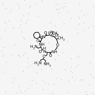 CCCC1C(=O)NC(C2CCCCCC2)C(=O)NC(CN)C(=O)NC(COC(CN)CN)C(=O)NCCOCC(C)C(=O)N1C